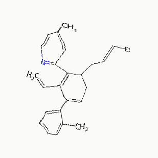 C=CC1=C(c2cc(C)ccn2)C(CC=CCC)CC=C1c1ccccc1C